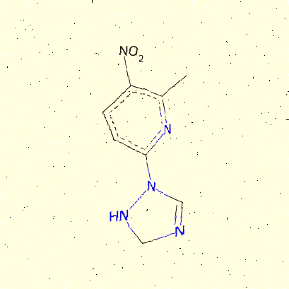 Cc1nc(N2C=NCN2)ccc1[N+](=O)[O-]